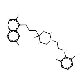 COc1ccc2ncc(Cl)c(CCCC3(C(=O)O)CCN(CCSc4c(F)cccc4F)CC3)c2c1